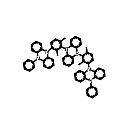 Cc1ccc(N2c3ccccc3N(c3ccccc3)c3ccccc32)c(C)c1B1c2ccccc2B(c2c(C)ccc(N3c4ccccc4N(c4ccccc4)c4ccccc43)c2C)c2ccccc21